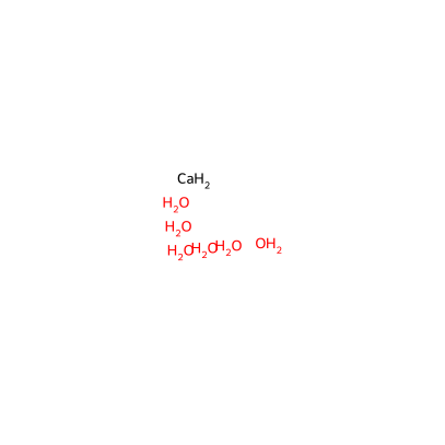 O.O.O.O.O.O.[CaH2]